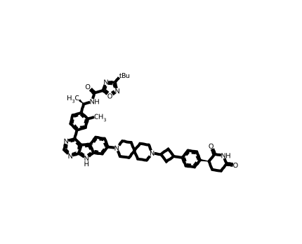 Cc1cc(-c2ncnc3[nH]c4cc(N5CCC6(CC5)CCN(C5CC(c7ccc([C@@H]8CCC(=O)NC8=O)cc7)C5)CC6)ccc4c23)ccc1[C@@H](C)NC(=O)c1nc(C(C)(C)C)no1